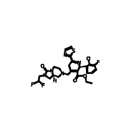 CCOC(=O)C1=C(CN2CCN3C(=O)N(CC(F)F)C[C@@H]3C2)CC(c2nccs2)=N[C@H]1c1cccc(F)c1Cl